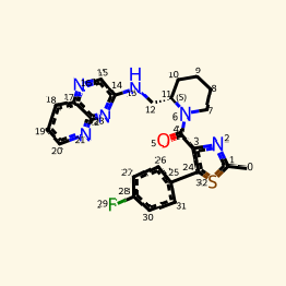 Cc1nc(C(=O)N2CCCC[C@H]2CNc2cnc3cccnc3n2)c(-c2ccc(F)cc2)s1